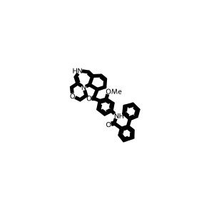 COc1cc(NC(=O)c2ccccc2-c2ccccc2)ccc1C(=O)C1CC=CC2=CNC=C3COCCN3C21